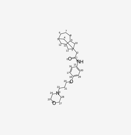 O=C(CC12CC3CCCC(C1)C(C3)C2)Nc1ccc(OCCCN2CCOCC2)cc1